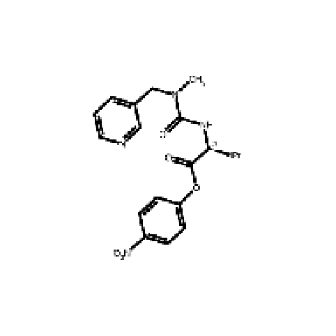 CC(C)[C@H](NC(=O)N(C)Cc1cccnc1)C(=O)Oc1ccc([N+](=O)[O-])cc1